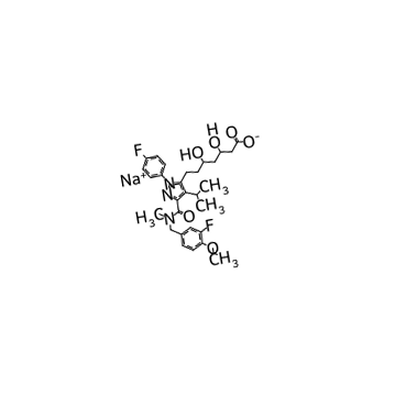 COc1ccc(CN(C)C(=O)c2nn(-c3ccc(F)cc3)c(CCC(O)CC(O)CC(=O)[O-])c2C(C)C)cc1F.[Na+]